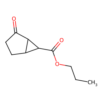 CCCOC(=O)C1C2CCC(=O)C21